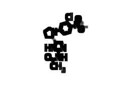 CC(=O)Nc1ncc([C@@H]2CCCN2c2ccc([N+](=O)[O-])c(Cl)c2)[nH]1